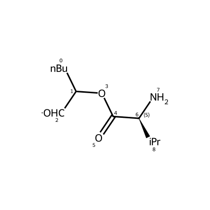 CCCCC([C]=O)OC(=O)[C@@H](N)C(C)C